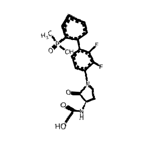 CP(C)(=O)c1ccccc1-c1ccc(N2CC[C@@H](NC(=O)O)C2=O)c(F)c1F